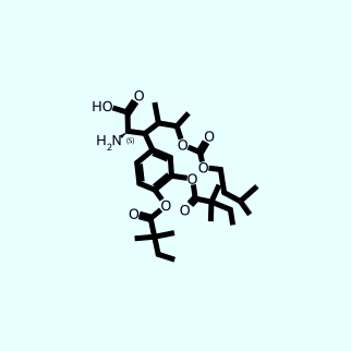 CCC(C)(C)C(=O)Oc1ccc(C(C(C)C(C)OC(=O)OCCC(C)C)[C@H](N)C(=O)O)cc1OC(=O)C(C)(C)CC